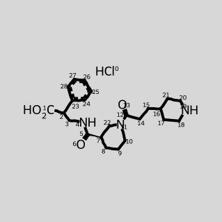 Cl.O=C(O)C(CNC(=O)[C@@H]1CCCN(C(=O)CCC2CCNCC2)C1)c1ccccc1